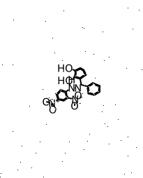 O=[N+]([O-])c1ccc(NN=C(c2ccccc2)c2cccc(O)c2O)c([N+](=O)[O-])c1